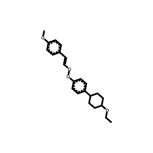 CCOC1CCC(c2ccc(OO/C=C/c3ccc(OC)cc3)cc2)CC1